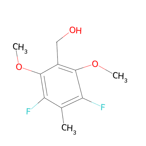 COc1c(F)c(C)c(F)c(OC)c1CO